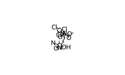 CCOC(=O)C1=NN(c2c(Cl)cc(Cl)cc2Cl)C(=O)/C1=C\C=Cc1c(C)c(C#N)c(=O)n(C)c1O